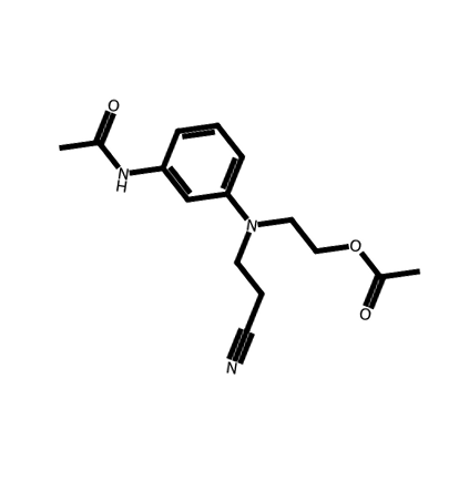 CC(=O)Nc1cccc(N(CCC#N)CCOC(C)=O)c1